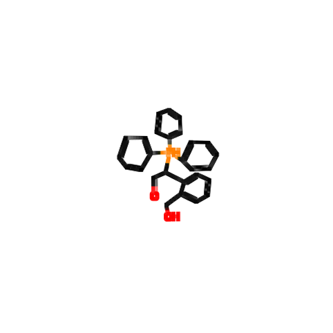 O=CC(c1ccccc1CO)[PH](c1ccccc1)(c1ccccc1)c1ccccc1